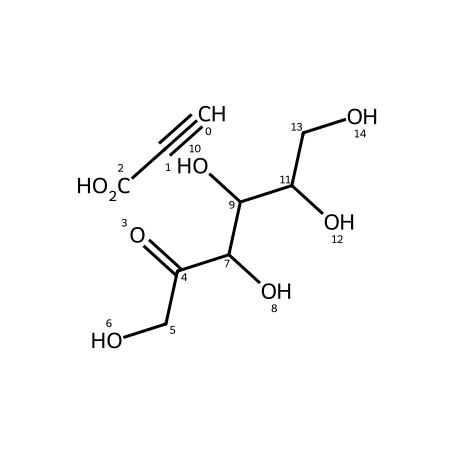 C#CC(=O)O.O=C(CO)C(O)C(O)C(O)CO